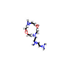 CN(C)CCN(C)CCN1CCOCCN(C)CCOCC1